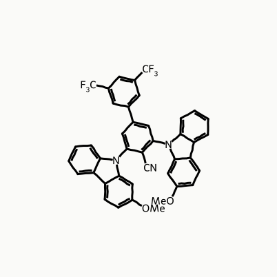 COc1ccc2c3ccccc3n(-c3cc(-c4cc(C(F)(F)F)cc(C(F)(F)F)c4)cc(-n4c5ccccc5c5ccc(OC)cc54)c3C#N)c2c1